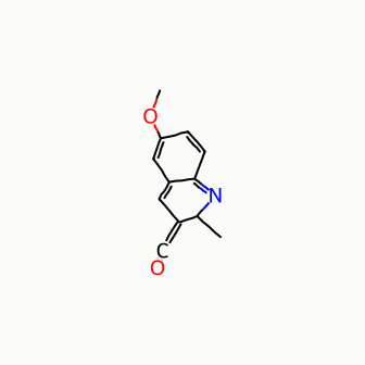 COc1ccc2c(c1)=CC(=C=O)C(C)N=2